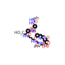 CCCNC(=O)Nc1cccc(S(=O)(=O)Nc2cccc(C(CC(=O)O)NC(=O)CCCC(=O)NCC(=O)N[C@@H](CC(C)C)C(=O)O[C@]3(CC)C(=O)OCc4c3cc3n(c4=O)Cc4cc5ccccc5nc4-3)c2)c1